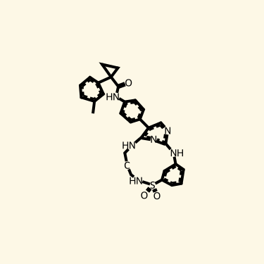 Cc1cccc(C2(C(=O)Nc3ccc(-c4cnc5nc4NCCCNS(=O)(=O)c4cccc(c4)N5)cc3)CC2)c1